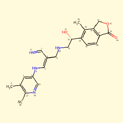 Cc1cc(N/C=C(\C=N)CNC[C@H](O)c2ccc3c(c2C)COC3=O)cnc1C#N